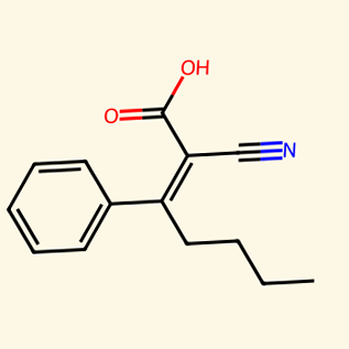 CCCCC(=C(C#N)C(=O)O)c1ccccc1